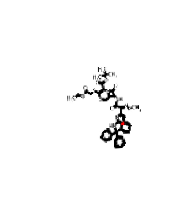 CCOC(=O)CSC1=C(C(=O)OC(C)(C)C)N2C(=O)C(NC(=O)C(=NOC)c3csc(NC(c4ccccc4)(c4ccccc4)c4ccccc4)n3)C2CS1